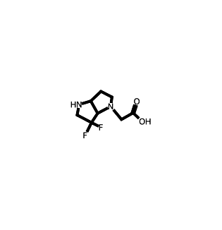 O=C(O)CN1CCC2NCC(F)(F)C21